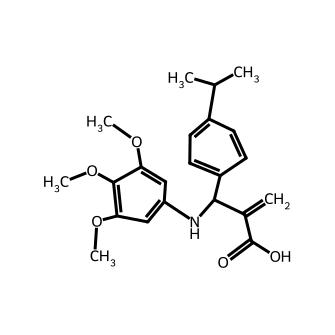 C=C(C(=O)O)C(Nc1cc(OC)c(OC)c(OC)c1)c1ccc(C(C)C)cc1